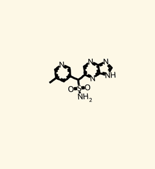 Cc1cncc(C(c2cnc3nc[nH]c3n2)S(N)(=O)=O)c1